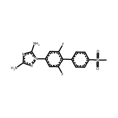 CS(=O)(=O)c1ccc(-c2c(F)cc(-n3nc(N)nc3N)cc2F)cc1